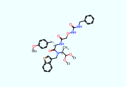 CCOC(OCC)[C@H](C)N(Cc1csc2ccccc12)C(=O)[C@H](Cc1ccc(OC(C)(C)C)cc1)NC(=O)CONC(=O)NCc1ccccc1